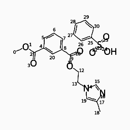 COC(=O)c1cccc(C(=O)OCCn2cnc(C)c2)c1.O=S(=O)(O)c1ccccc1